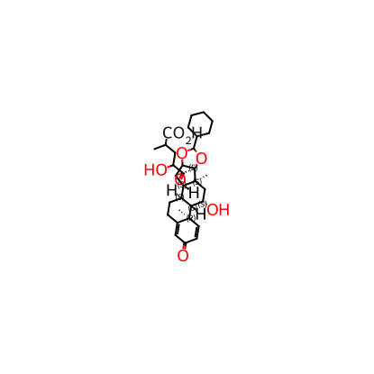 CC(CC(O)C(=O)[C@@]12OC(C3CCCCC3)OC1C[C@H]1[C@@H]3CCC4=CC(=O)C=C[C@]4(C)[C@H]3[C@@H](O)C[C@@]12C)C(=O)O